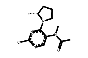 CC(=O)N(C)c1cnc(Cl)nc1N1CCC[C@H]1C